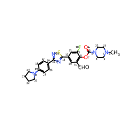 CN1CCN(C(=O)Oc2c(F)cc(-c3nc(-c4ccc(N5CCCC5)cc4)ns3)cc2C=O)CC1